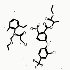 CCOC(=O)C(C)OC(=O)c1cc(Oc2ccc(C(F)(F)F)cc2Cl)ccc1[N+](=O)[O-].CCOCN(C(=O)CCl)c1c(C)cccc1CC